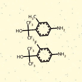 Cc1cc(N)ccc1C(O)(C(F)(F)F)C(F)(F)F.Nc1ccc(C(O)(C(F)(F)F)C(F)(F)F)c(F)c1